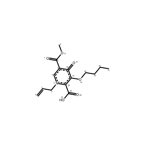 C=CCn1cc(C(=O)OC)c(=O)c(OCCCC)c1C(=O)O